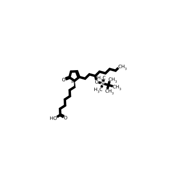 CCCCCC(CCC1=CCC(=O)[C@@H]1CCCCCCC(=O)O)O[Si](C)(C)C(C)(C)C